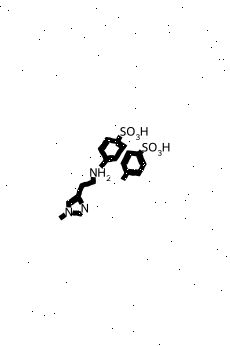 Cc1ccc(S(=O)(=O)O)cc1.Cc1ccc(S(=O)(=O)O)cc1.Cn1cnc(CCN)c1